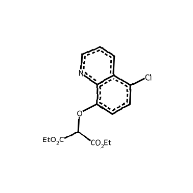 CCOC(=O)C(Oc1ccc(Cl)c2cccnc12)C(=O)OCC